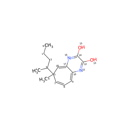 CCCC(C)C1(C)C=CC=c2nc(O)c(O)nc2=C1